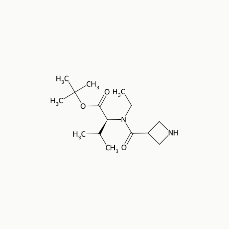 CCN(C(=O)C1CNC1)[C@H](C(=O)OC(C)(C)C)C(C)C